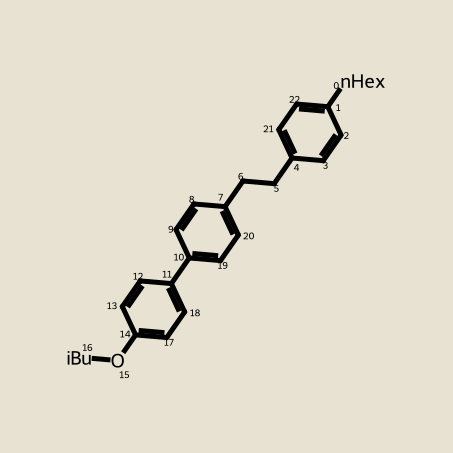 CCCCCCc1ccc(CCc2ccc(-c3ccc(OC(C)CC)cc3)cc2)cc1